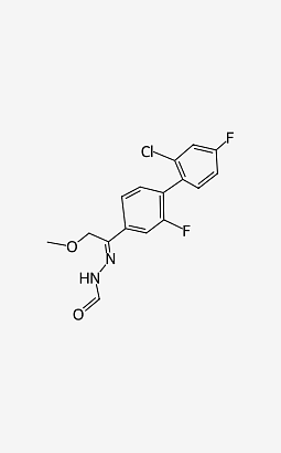 COC/C(=N\NC=O)c1ccc(-c2ccc(F)cc2Cl)c(F)c1